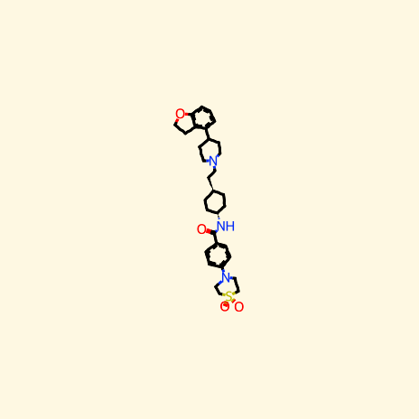 O=C(N[C@H]1CC[C@H](CCN2CCC(c3cccc4c3CCO4)CC2)CC1)c1ccc(N2CCS(=O)(=O)CC2)cc1